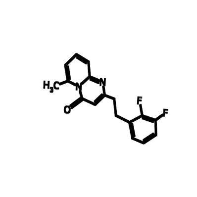 Cc1cccc2nc(CCc3cccc(F)c3F)cc(=O)n12